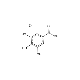 O=C(O)c1cc(O)c(O)c(O)c1.[Zr]